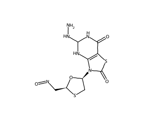 NNC1NC(=O)c2sc(=O)n([C@H]3CS[C@@H](CN=O)O3)c2N1